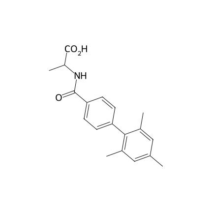 Cc1cc(C)c(-c2ccc(C(=O)NC(C)C(=O)O)cc2)c(C)c1